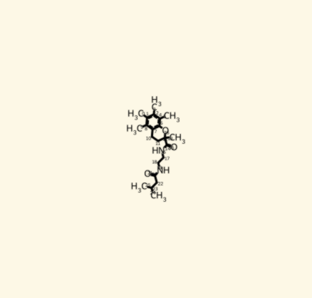 Cc1c(C)c(C)c2c(c1C)CCC(C)(C(=O)NCCNC(=O)CC(C)C)O2